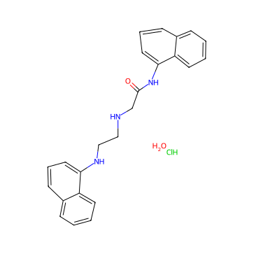 Cl.O.O=C(CNCCNc1cccc2ccccc12)Nc1cccc2ccccc12